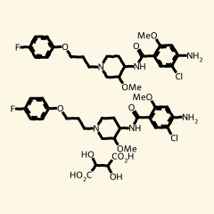 COc1cc(N)c(Cl)cc1C(=O)NC1CCN(CCCOc2ccc(F)cc2)CC1OC.COc1cc(N)c(Cl)cc1C(=O)NC1CCN(CCCOc2ccc(F)cc2)CC1OC.O=C(O)C(O)C(O)C(=O)O